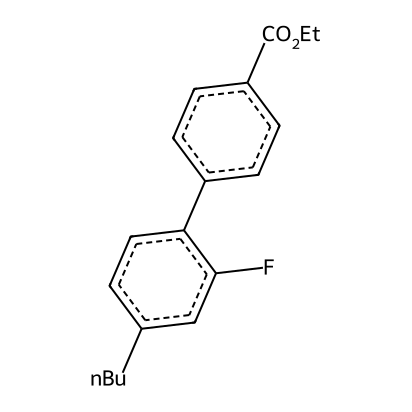 CCCCc1ccc(-c2ccc(C(=O)OCC)cc2)c(F)c1